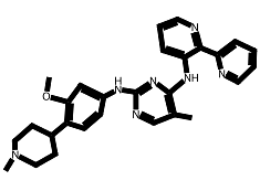 COc1cc(Nc2ncc(C)c(Nc3cccnc3-c3ccccn3)n2)ccc1C1CCN(C)CC1